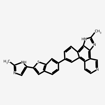 Cc1ncc(-c2cc3ccc(-c4ccc5c(c4)c4ccncc4c4nc(C)[nH]c54)cc3s2)[nH]1